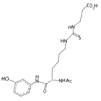 CC(=O)NC(CCCCNC(=S)NCCC(=O)O)C(=O)Nc1cccc(O)c1